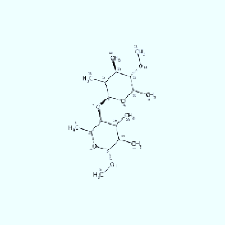 CO[C@@H]1OC(C)[C@@H](O[C@@H]2OC(C)[C@@H](OC)[C@H](C)C2C)C(C)C1C